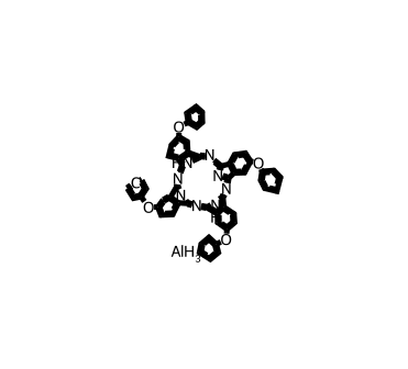 [AlH3].c1ccc(Oc2ccc3c(c2)-c2nc-3nc3[nH]c(nc4nc(nc5[nH]c(n2)c2ccc(Oc6ccccc6)cc52)-c2ccc(Oc5ccccc5)cc2-4)c2ccc(Oc4ccccc4)cc32)cc1